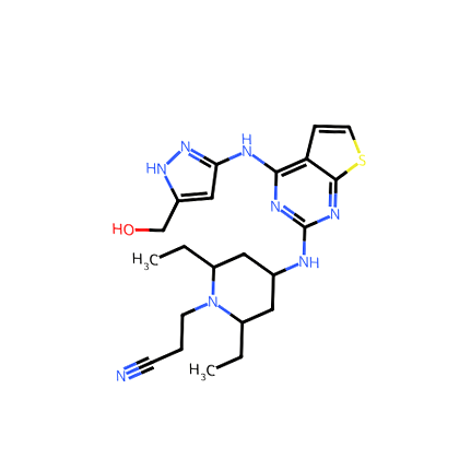 CCC1CC(Nc2nc(Nc3cc(CO)[nH]n3)c3ccsc3n2)CC(CC)N1CCC#N